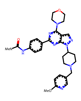 CNC(=O)Nc1ccc(-c2nc(N3CCOCC3)c3cnn(C4CCN(Cc5ccc(OC)nc5)CC4)c3n2)cc1